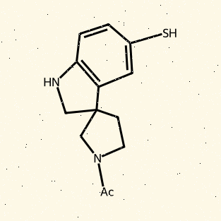 CC(=O)N1CCC2(CNc3ccc(S)cc32)C1